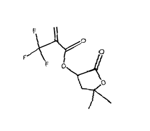 C=C(C(=O)OC1CC(C)(C)OC1=O)C(F)(F)F